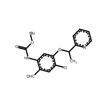 CC(Oc1cc(NC(=O)OC(C)(C)C)c(C=O)cc1Cl)c1ccccn1